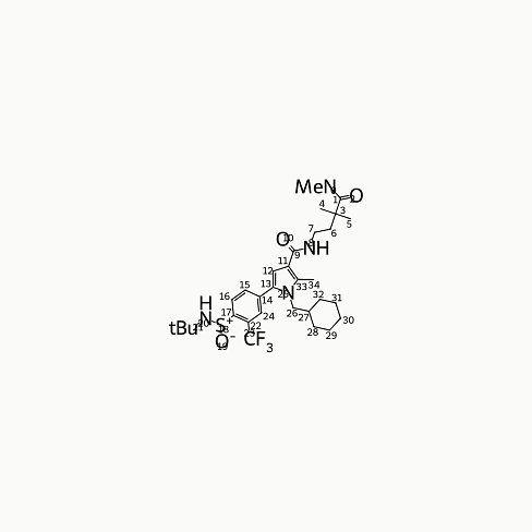 CNC(=O)C(C)(C)CCNC(=O)c1cc(-c2ccc([S+]([O-])NC(C)(C)C)c(C(F)(F)F)c2)n(CC2CCCCC2)c1C